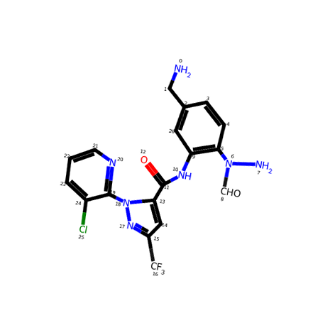 NCc1ccc(N(N)C=O)c(NC(=O)c2cc(C(F)(F)F)nn2-c2ncccc2Cl)c1